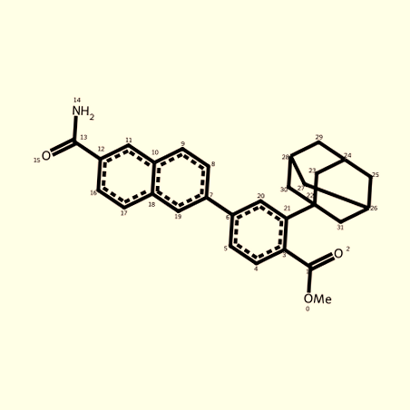 COC(=O)c1ccc(-c2ccc3cc(C(N)=O)ccc3c2)cc1C12CC3CC(CC(C3)C1)C2